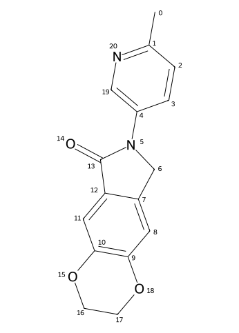 Cc1ccc(N2Cc3cc4c(cc3C2=O)OCCO4)cn1